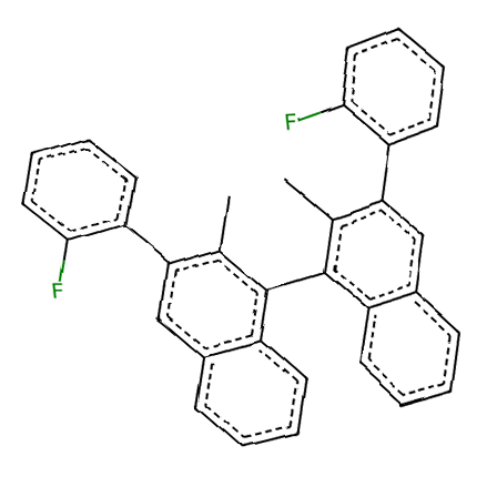 Cc1c(-c2ccccc2F)cc2ccccc2c1-c1c(C)c(-c2ccccc2F)cc2ccccc12